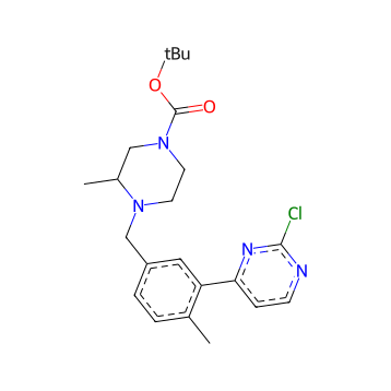 Cc1ccc(CN2CCN(C(=O)OC(C)(C)C)CC2C)cc1-c1ccnc(Cl)n1